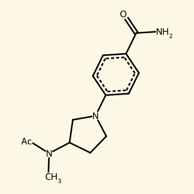 CC(=O)N(C)C1CCN(c2ccc(C(N)=O)cc2)C1